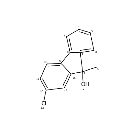 CC1(O)c2ccccc2-c2ccc(Cl)cc21